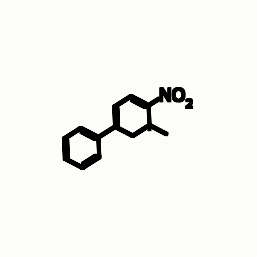 C[C]1CC(c2ccccc2)=CC=C1[N+](=O)[O-]